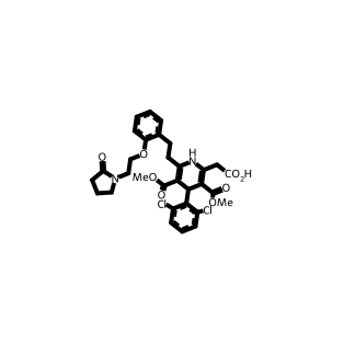 COC(=O)C1=C(CCc2ccccc2OCCN2CCCC2=O)NC(CC(=O)O)=C(C(=O)OC)C1c1c(Cl)cccc1Cl